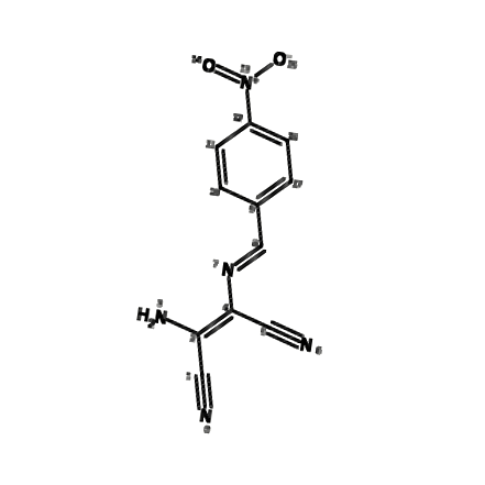 N#CC(N)=C(C#N)N=Cc1ccc([N+](=O)[O-])cc1